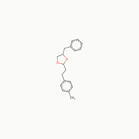 Cc1ccc(CCC2OCC(Cc3ccccc3)O2)cc1